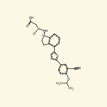 CC(C)Oc1ccc(-c2ncc(-c3cccc4c3CC[C@H]4N[S+]([O-])CC(=O)O)s2)cc1C#N